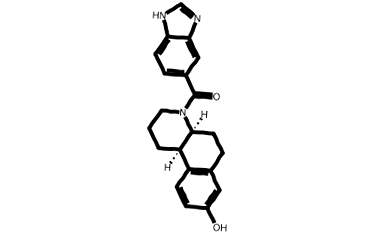 O=C(c1ccc2[nH]cnc2c1)N1CCC[C@@H]2c3ccc(O)cc3CC[C@@H]21